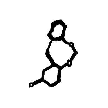 O=C1CC=C2OCOc3ccccc3/C=C\2C1